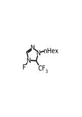 CCCCCCN1N=CN(F)C1C(F)(F)F